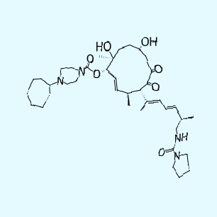 C/C(=C\C=C\[C@@H](C)CNC(=O)N1CCCC1)[C@H]1C(=O)C(=O)C[C@@H](O)CC[C@](C)(O)[C@@H](OC(=O)N2CCN(C3CCCCCC3)CC2)/C=C/[C@@H]1C